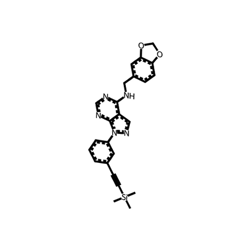 C[Si](C)(C)C#Cc1cccc(-n2ncc3c(NCc4ccc5c(c4)OCO5)ncnc32)c1